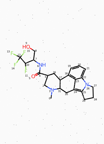 CN1CC(C(=O)NC(CO)C(F)C(F)(F)F)CC2c3cccc4c3c(c3n4CCC3)CC21